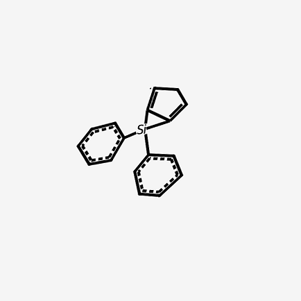 [C]1=C2C(=CC1)[Si]2(c1ccccc1)c1ccccc1